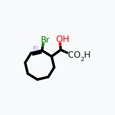 O=C(O)C(O)C1CCCCC/C=C\1Br